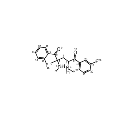 CNC(CC(C)(NC)C(=O)c1ccccc1F)C(=O)c1cccc(F)c1